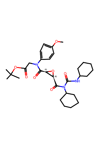 COc1ccc(N(CC(=O)OC(C)(C)C)C(=O)[C@H]2O[C@H]2C(=O)N(C(=O)NC2CCCCC2)C2CCCCC2)cc1